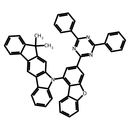 CC1(C)c2ccccc2-c2cc3c4ccccc4n(-c4cc(-c5nc(-c6ccccc6)nc(-c6ccccc6)n5)cc5oc6ccccc6c45)c3cc21